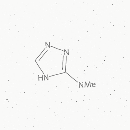 CNc1nnc[nH]1